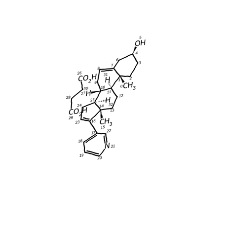 C[C@]12CC[C@H](O)CC1=CC[C@@H]1[C@@H]2CC[C@]2(C)C(c3cccnc3)=CC[C@@H]12.O=C(O)CCC(=O)O